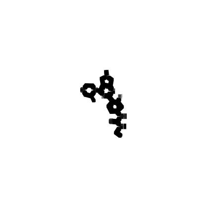 CCNC(=O)Nc1ccc(-c2nc3c(c(N4CCOC[C@@H]4C)n2)CN(C)C3)c(F)c1